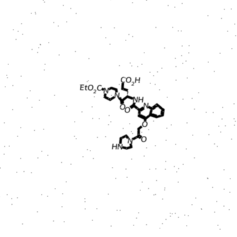 CCOC(=O)N1CCN(C(=O)[C@H](CCC(=O)O)NC(=O)c2cc(OCC(=O)N3CCNCC3)c3ccccc3n2)CC1